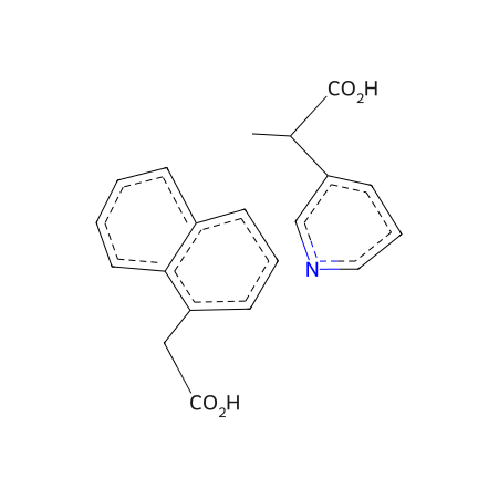 CC(C(=O)O)c1cccnc1.O=C(O)Cc1cccc2ccccc12